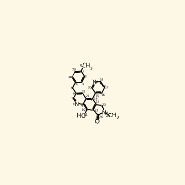 Cc1ccc(Cc2cnc3c(O)c4c(c(-c5cccnc5)c3c2)CN(C)C4=O)cc1